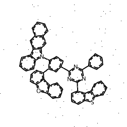 c1ccc(-c2nc(-c3ccc(-n4c5ccccc5c5cc6ccccc6cc54)c(-c4cccc5oc6ccccc6c45)c3)nc(-c3cccc4sc5ccccc5c34)n2)cc1